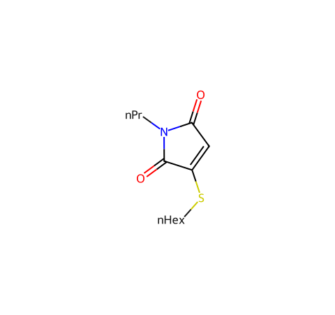 CCCCCCSC1=CC(=O)N(CCC)C1=O